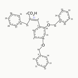 O=C(O)/C(=C/c1ccc(OCc2ccccc2)cc1OCc1ccccc1)Cc1ccccc1